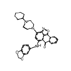 O=C1c2ccccc2-c2onc3c(N4CCN(C5CCCCC5)CC4)cc(Nc4ccc5c(c4)OCO5)c1c23